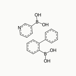 OB(O)c1ccccc1-c1ccccc1.OB(O)c1cccnc1